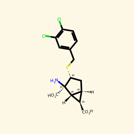 N[C@]1(C(=O)O)[C@@H]2[C@@H](C[C@H]1SCc1ccc(Cl)c(Cl)c1)[C@H]2C(=O)O